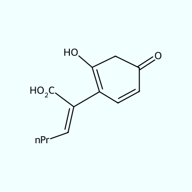 CCCC=C(C(=O)O)C1=C(O)CC(=O)C=C1